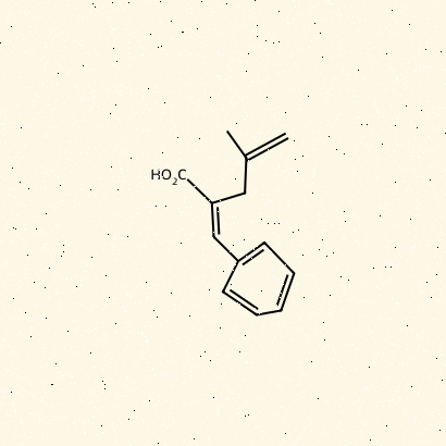 C=C(C)CC(=Cc1ccccc1)C(=O)O